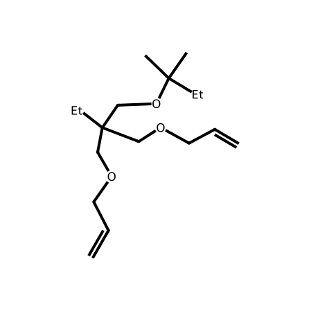 C=CCOCC(CC)(COCC=C)COC(C)(C)CC